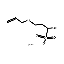 C=CCOCCC(O)S(=O)(=O)[O-].[Na+]